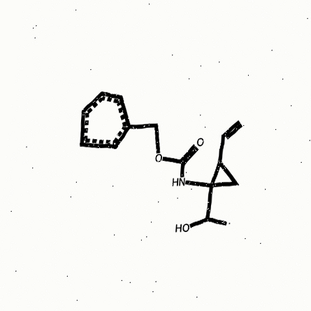 [CH2]C(O)C1(NC(=O)OCc2ccccc2)CC1C=C